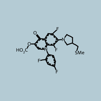 CSCC1CCN(c2c(F)cc3c(=O)c(OC(=O)O)cn(-c4ccc(F)cc4F)c3c2F)C1